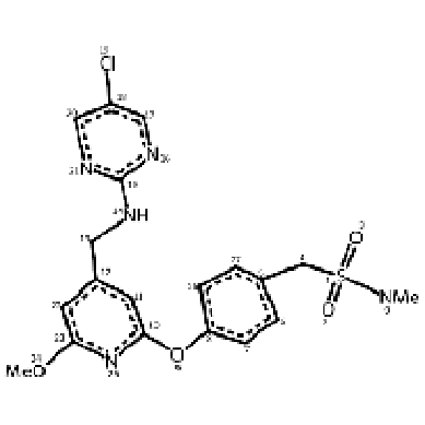 CNS(=O)(=O)Cc1ccc(Oc2cc(CNc3ncc(Cl)cn3)cc(OC)n2)cc1